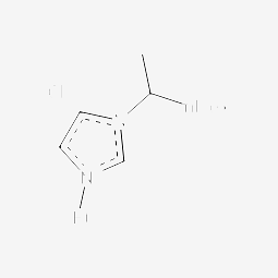 CCCCCCC(C)n1cc[n+](CC)c1.[Cl-]